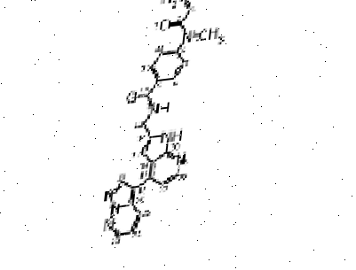 C=CC(=O)N(C)c1ccc(C(=O)NCc2cc3c(-c4cnn5ncccc45)ccnc3[nH]2)cc1